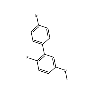 COc1ccc(F)c(-c2ccc(Br)cc2)c1